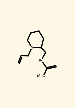 C=CCN1CCCCC1CNC(=C)OC